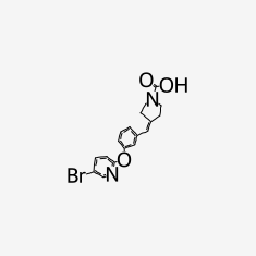 O=C(O)N1CCC(=Cc2cccc(Oc3ccc(Br)cn3)c2)CC1